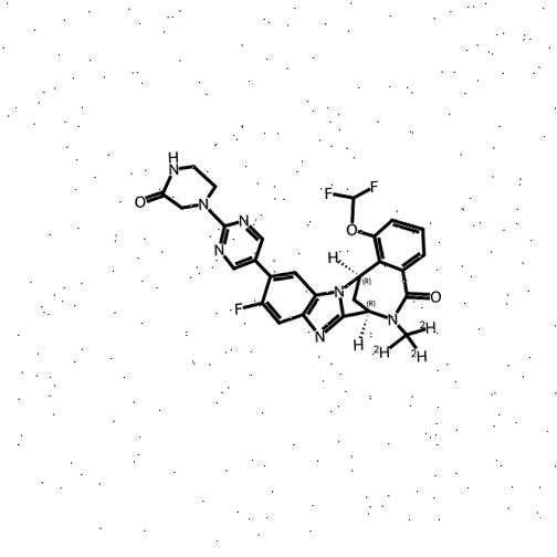 [2H]C([2H])([2H])N1C(=O)c2cccc(OC(F)F)c2[C@H]2C[C@@H]1c1nc3cc(F)c(-c4cnc(N5CCNC(=O)C5)nc4)cc3n12